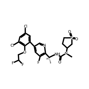 C[C@@H](NC(=O)N(C)C1CCS(=O)(=O)C1)c1ncc(-c2cc(Cl)cc(Cl)c2OCC(F)F)cc1F